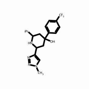 CC(C)C1CC(O)(c2ccc(C(F)(F)F)cc2)CC(c2cn(C)nn2)N1